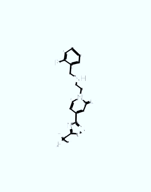 O=c1cc(-c2noc(C(F)(F)F)n2)ccn1CCNCc1ccccc1F